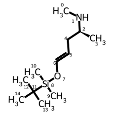 CN[C@@H](C)CC=CO[Si](C)(C)C(C)(C)C